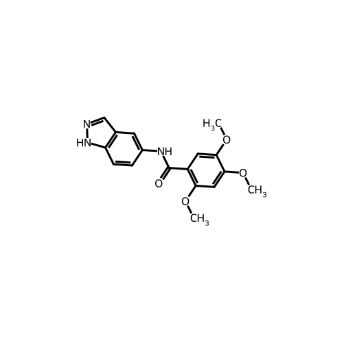 COc1cc(OC)c(C(=O)Nc2ccc3[nH]ncc3c2)cc1OC